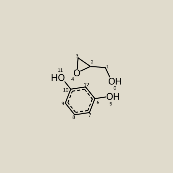 OCC1CO1.Oc1cccc(O)c1